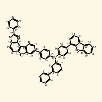 c1ccc(-c2cccc(N(c3ccc(-c4ccc5c(c4)oc4ccc6sc(-c7ccccc7)nc6c45)cc3)c3ccc(-c4cccc5c4sc4ccccc45)cc3)c2)cc1